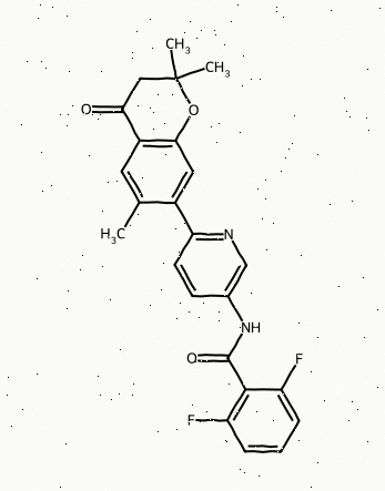 Cc1cc2c(cc1-c1ccc(NC(=O)c3c(F)cccc3F)cn1)OC(C)(C)CC2=O